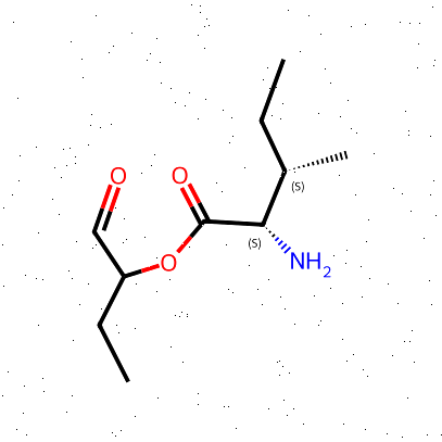 CCC(C=O)OC(=O)[C@@H](N)[C@@H](C)CC